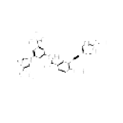 Cc1cn(-c2cc(NC(=O)c3ccc(C)c(C#Cc4cnc(N)nc4)c3)cc(C(F)(F)F)c2)cn1